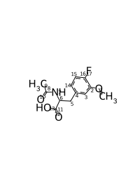 COc1cc(CC(NC(C)=O)C(=O)O)ccc1F